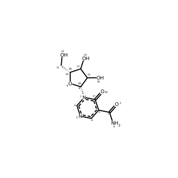 NC(=O)c1cncn([C@@H]2O[C@H](CO)C(O)C2O)c1=O